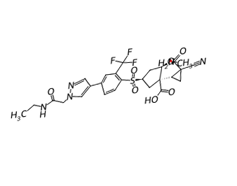 CCNC(=O)Cn1cc(-c2ccc(S(=O)(=O)[C@H]3C[C@@H](OC)[C@](C(=O)O)(C4CC4(C#N)C(N)=O)C3)c(C(F)(F)F)c2)cn1